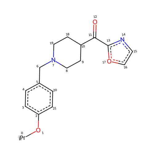 CC(C)Oc1ccc(CN2CCC(C(=O)c3ncco3)CC2)cc1